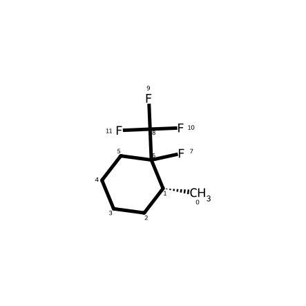 C[C@@H]1CCCCC1(F)C(F)(F)F